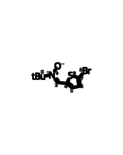 CC(C)(C)[N+]([O-])=Cc1ccc(Br)s1